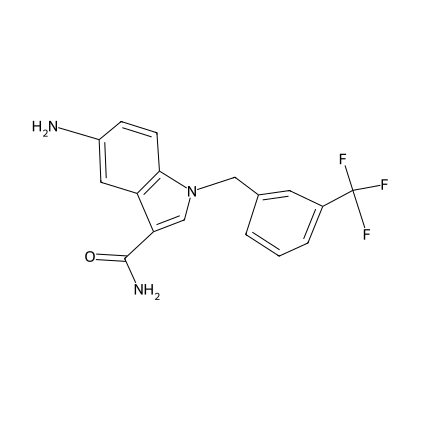 NC(=O)c1cn(Cc2cccc(C(F)(F)F)c2)c2ccc(N)cc12